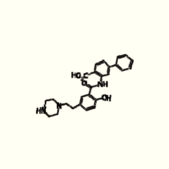 O=C(Nc1cc(-c2ccccc2)ccc1C(=O)O)c1cc(CCN2CCNCC2)ccc1O